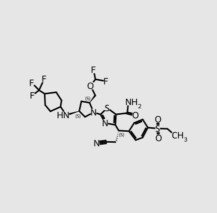 CCS(=O)(=O)c1ccc([C@H](CC#N)c2nc(N3C[C@@H](NC4CCC(C(F)(F)F)CC4)C[C@H]3COC(F)F)sc2C(N)=O)cc1